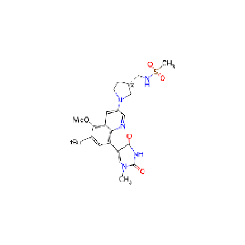 COc1c(C(C)(C)C)cc(-c2cn(C)c(=O)[nH]c2=O)c2ncc(N3CC[C@H](CNS(C)(=O)=O)C3)cc12